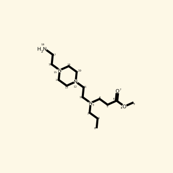 CCCN(CCC(=O)OC)CCN1CCN(CCN)CC1